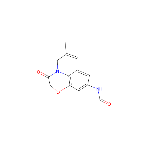 C=C(C)CN1C(=O)COc2cc(NC=O)ccc21